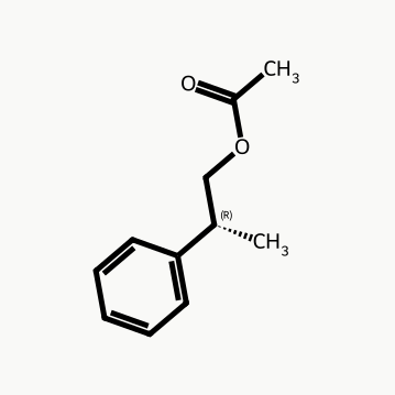 CC(=O)OC[C@H](C)c1ccccc1